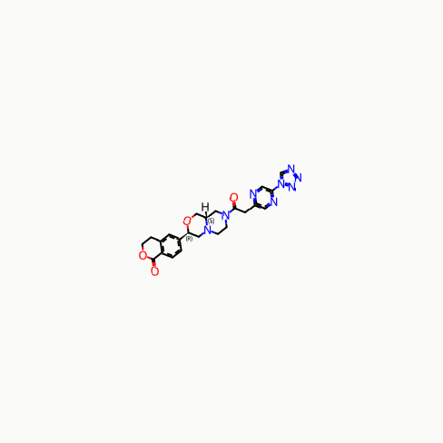 O=C1OCCc2cc([C@@H]3CN4CCN(C(=O)Cc5cnc(-n6cnnn6)cn5)C[C@H]4CO3)ccc21